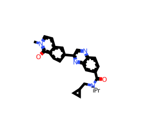 CC(C)N(CC1CC1)C(=O)c1ccc2ncc(-c3ccc4c(=O)n(C)ccc4c3)nc2c1